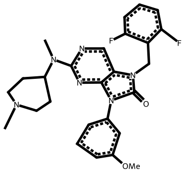 COc1cccc(-n2c(=O)n(Cc3c(F)cccc3F)c3cnc(N(C)C4CCN(C)CC4)nc32)c1